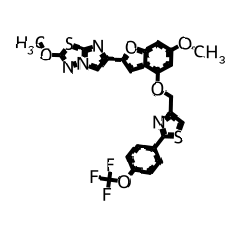 COc1cc(OCc2csc(-c3ccc(OC(F)(F)F)cc3)n2)c2cc(-c3cn4nc(OC)sc4n3)oc2c1